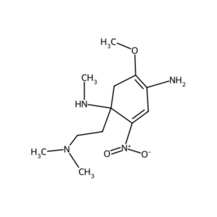 CNC1(CCN(C)C)CC(OC)=C(N)C=C1[N+](=O)[O-]